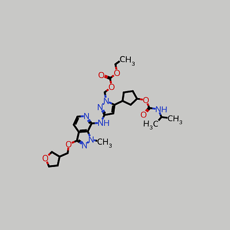 CCOC(=O)OCn1nc(Nc2nccc3c(OCC4CCOC4)nn(C)c23)cc1C1CCC(OC(=O)NC(C)C)C1